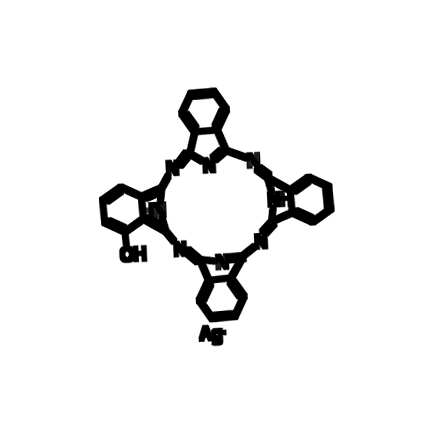 Oc1cccc2c3nc4nc(nc5[nH]c(nc6nc(nc([nH]3)c12)-c1ccccc1-6)c1ccccc51)-c1ccccc1-4.[Ag]